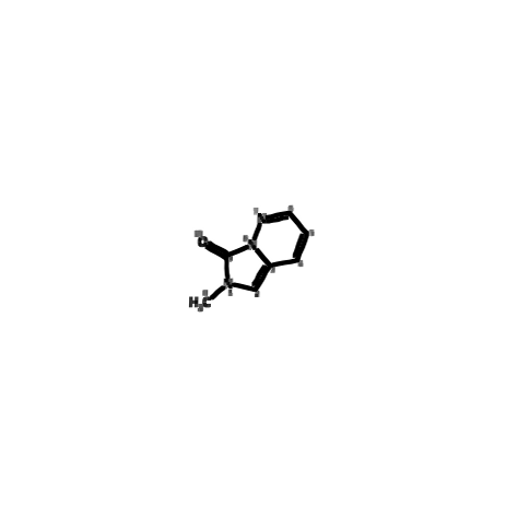 Cn1cc2cccnn2c1=O